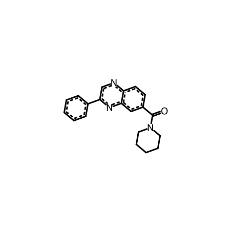 O=C(c1ccc2ncc(-c3ccccc3)nc2c1)N1CCCCC1